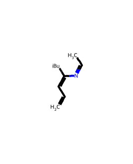 C=C/C=C(\N=C/C)C(C)CC